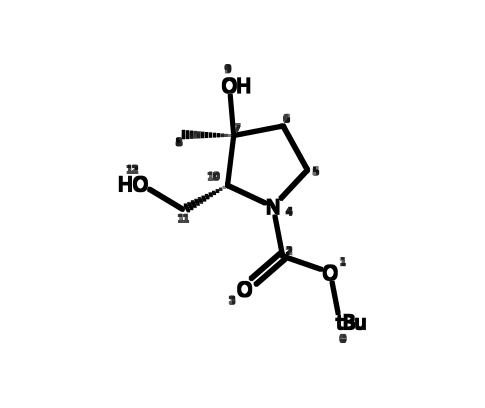 CC(C)(C)OC(=O)N1CC[C@](C)(O)[C@H]1CO